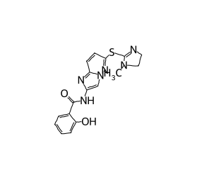 CN1CCN=C1Sc1ccc2nc(NC(=O)c3ccccc3O)cn2n1